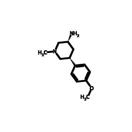 COc1ccc([C@H]2C[C@@H](N)CN(C)C2)cc1